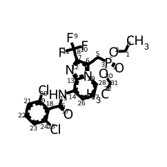 CCOP(=O)(Cc1c(C(F)(F)F)nc2c(NC(=O)c3c(Cl)cccc3Cl)cccn12)OCC